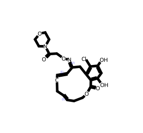 O=C1OCC/C=C/CC/C=C/C(=N\OCC(=O)N2CCOCC2)Cc2c(Cl)c(O)cc(O)c21